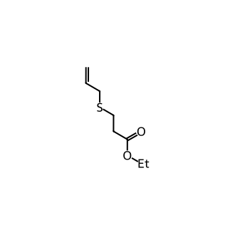 C=CCSCCC(=O)OCC